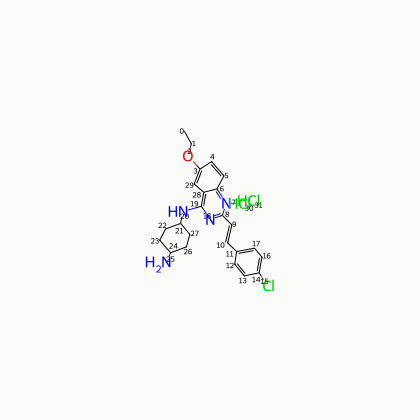 CCOc1ccc2nc(C=Cc3ccc(Cl)cc3)nc(NC3CCC(N)CC3)c2c1.Cl.Cl